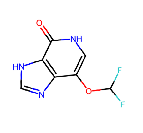 O=c1[nH]cc(OC(F)F)c2nc[nH]c12